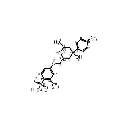 C[C@H]1C[C@@](O)(c2ccc(C(F)(F)F)cc2)C[C@@H](COc2ccc(S(C)(=O)=O)c(C(F)(F)F)c2)N1